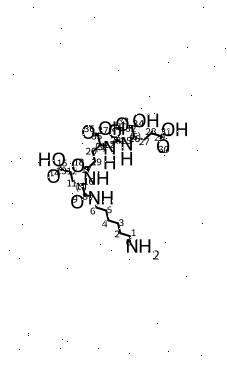 NCCCCCCNC(=O)[C@H](CCC(=O)O)NC(=O)CC[C@H](NC(=O)N[C@@H](CCC(=O)O)C(=O)O)C(=O)O